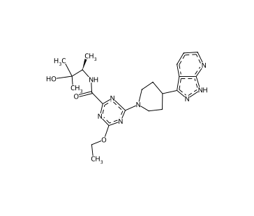 CCOc1nc(C(=O)N[C@H](C)C(C)(C)O)nc(N2CCC(c3n[nH]c4ncccc34)CC2)n1